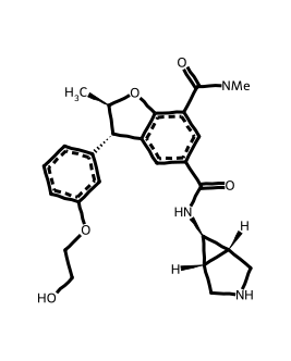 CNC(=O)c1cc(C(=O)N[C@H]2[C@@H]3CNC[C@@H]32)cc2c1O[C@H](C)[C@H]2c1cccc(OCCO)c1